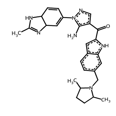 CC1=NC2C=C(n3ncc(C(=O)c4cc5ccc(CN6C(C)CCC6C)cc5[nH]4)c3N)C=CC2N1